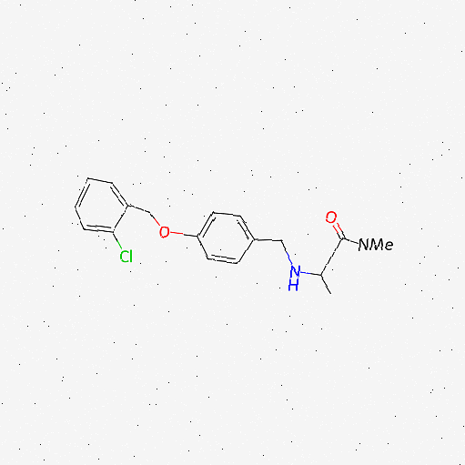 CNC(=O)C(C)NCc1ccc(OCc2ccccc2Cl)cc1